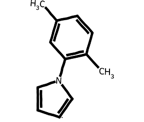 Cc1ccc(C)c(-n2c[c]cc2)c1